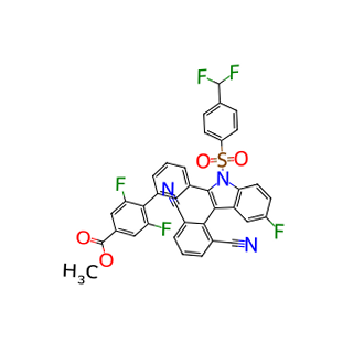 COC(=O)c1cc(F)c(-c2cccc(-c3c(-c4c(C#N)cccc4C#N)c4cc(F)ccc4n3S(=O)(=O)c3ccc(C(F)F)cc3)c2)c(F)c1